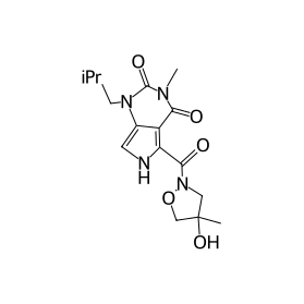 CC(C)Cn1c(=O)n(C)c(=O)c2c(C(=O)N3CC(C)(O)CO3)[nH]cc21